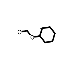 [O]COC1[CH]CCCC1